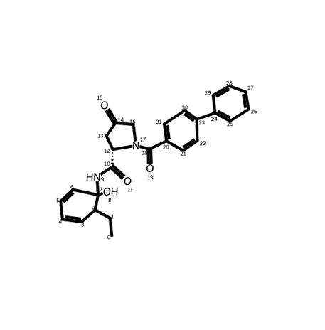 CCC1C=CC=CC1(O)NC(=O)[C@@H]1CC(=O)CN1C(=O)c1ccc(-c2ccccc2)cc1